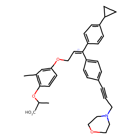 Cc1cc(OC/C=C(\c2ccc(C#CCN3CCOCC3)cc2)c2ccc(C3CC3)cc2)ccc1OC(C)C(=O)O